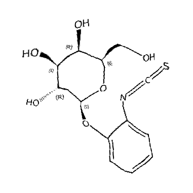 OC[C@H]1O[C@@H](Oc2ccccc2N=C=S)[C@H](O)[C@@H](O)[C@H]1O